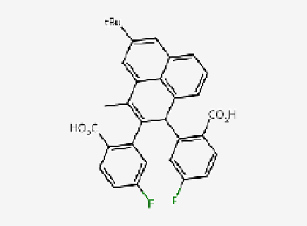 CC1=C(c2cc(F)ccc2C(=O)O)C(c2cc(F)ccc2C(=O)O)c2cccc3cc(C(C)(C)C)cc1c23